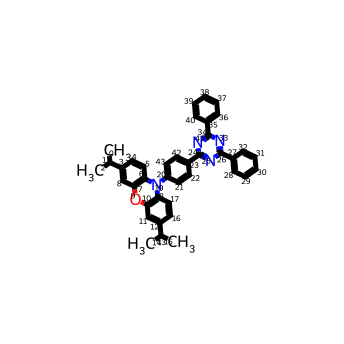 CC(C)c1ccc2c(c1)Oc1cc(C(C)C)ccc1N2c1ccc(-c2nc(-c3ccccc3)nc(-c3ccccc3)n2)cc1